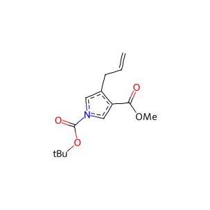 C=CCc1cn(C(=O)OC(C)(C)C)cc1C(=O)OC